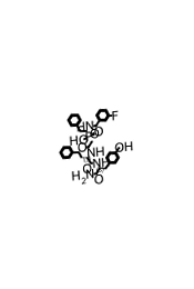 NC(=O)[C@H](Cc1ccc(O)cc1)NC(=O)[C@H](CCc1ccccc1)NC(=O)CP(=O)(O)C(Cc1ccccc1)NC(=O)c1cccc(F)c1